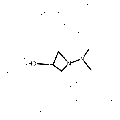 CN(C)N1CC(O)C1